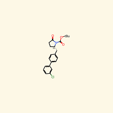 CC(C)(C)OC(=O)N1C(=O)CC[C@H]1Cc1ccc(-c2cccc(Cl)c2)cc1